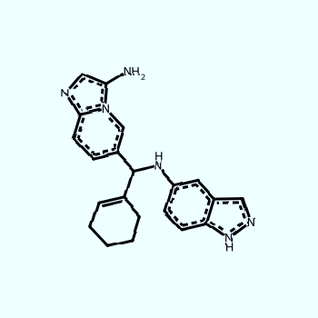 Nc1cnc2ccc(C(Nc3ccc4[nH]ncc4c3)C3=CCCCC3)cn12